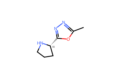 Cc1nnc([C@@H]2CCCN2)o1